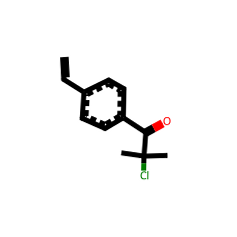 C=Cc1ccc(C(=O)C(C)(C)Cl)cc1